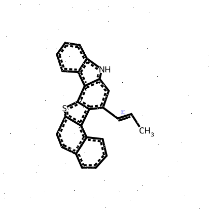 C/C=C/c1cc2[nH]c3ccccc3c2c2sc3ccc4ccccc4c3c12